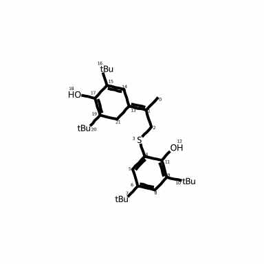 CC(CSc1cc(C(C)(C)C)cc(C(C)(C)C)c1O)=C1C=C(C(C)(C)C)C(O)=C(C(C)(C)C)C1